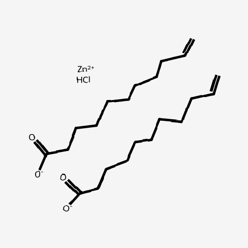 C=CCCCCCCCCC(=O)[O-].C=CCCCCCCCCC(=O)[O-].Cl.[Zn+2]